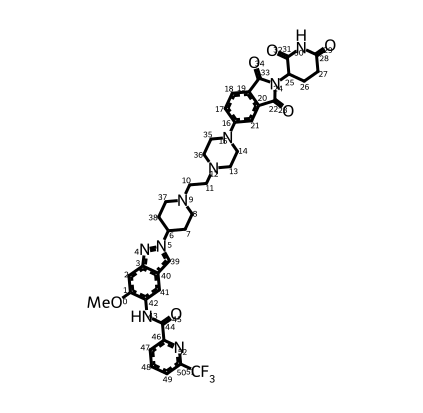 COc1cc2nn(C3CCN(CCN4CCN(c5ccc6c(c5)C(=O)N(C5CCC(=O)NC5=O)C6=O)CC4)CC3)cc2cc1NC(=O)c1cccc(C(F)(F)F)n1